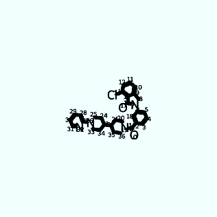 O=C(c1cccc(N2Cc3cccc(Cl)c3C2=O)c1)N1CCC(C2CCN(c3ccccn3)CC2)CC1